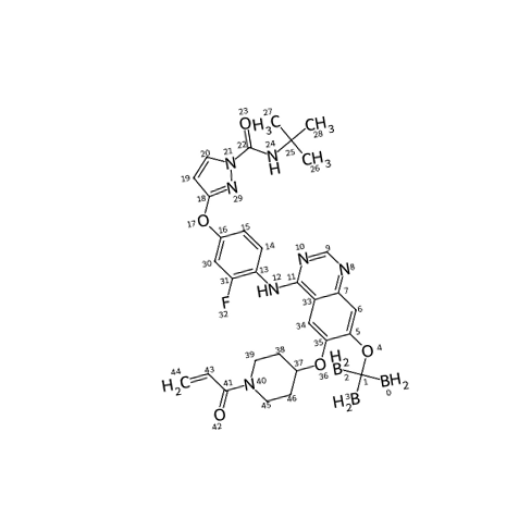 BC(B)(B)Oc1cc2ncnc(Nc3ccc(Oc4ccn(C(=O)NC(C)(C)C)n4)cc3F)c2cc1OC1CCN(C(=O)C=C)CC1